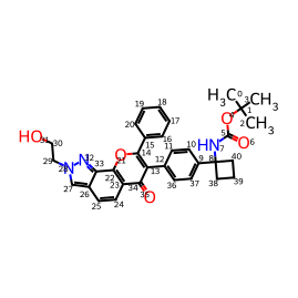 CC(C)(C)OC(=O)NC1(c2ccc(-c3c(-c4ccccc4)oc4c(ccc5cn(CCO)nc54)c3=O)cc2)CCC1